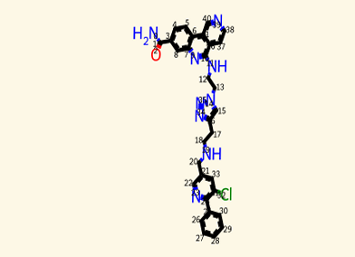 NC(=O)c1ccc2c(c1)nc(NCCn1cc(CCNCc3cnc(-c4ccccc4)c(Cl)c3)nn1)c1ccncc12